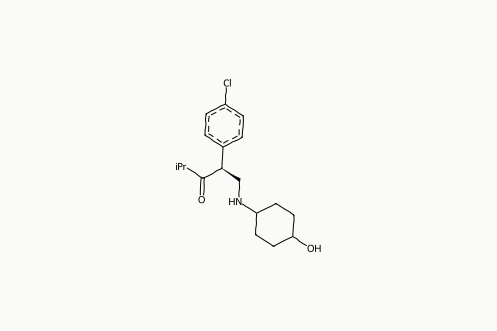 CC(C)C(=O)[C@H](CNC1CCC(O)CC1)c1ccc(Cl)cc1